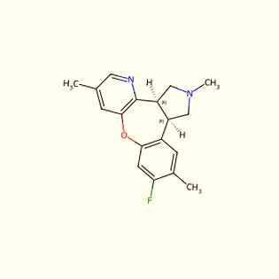 Cc1cnc2c(c1)Oc1cc(F)c(C)cc1[C@@H]1CN(C)C[C@H]21